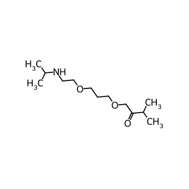 CC(C)NCCOCCCOCC(=O)C(C)C